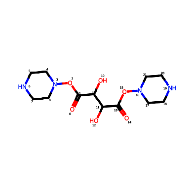 O=C(ON1CCNCC1)C(O)C(O)C(=O)ON1CCNCC1